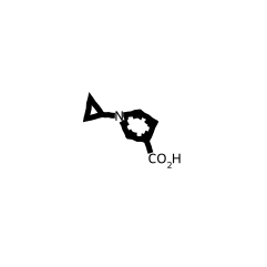 O=C(O)c1ccn(C2CC2)c1